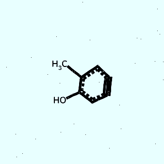 Cc1cc#ccc1O